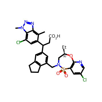 CC[C@@H]1CN(Cc2cc(C(CC(=O)O)c3cc(Cl)c4c(nnn4C)c3C)cc3c2CCC3)S(=O)(=O)c2cc(Cl)cnc2O1